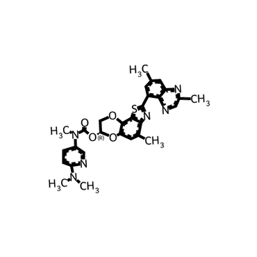 Cc1cc(-c2nc3c(C)cc4c(c3s2)OC[C@@H](OC(=O)N(C)c2ccc(N(C)C)nc2)O4)c2ncc(C)nc2c1